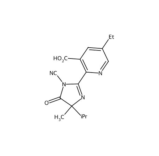 CCc1cnc(C2=NC(C)(C(C)C)C(=O)N2C#N)c(C(=O)O)c1